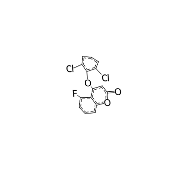 O=c1cc(Oc2c(Cl)cccc2Cl)c2c(F)cccc2o1